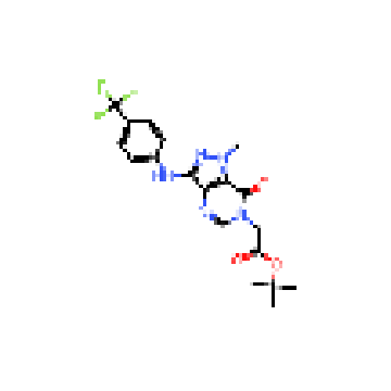 Cn1nc(Nc2ccc(C(F)(F)F)cc2)c2ncn(CC(=O)OC(C)(C)C)c(=O)c21